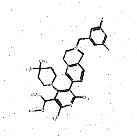 Cc1nc(C)c(C(OC(C)(C)C)C(=O)O)c(N2CCC(C)(C)CC2)c1-c1ccc2c(c1)CCN(Cc1cc(F)cc(F)c1)C2